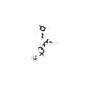 Cn1nnnc1SCC1(C(=O)O)CS[C@@H]2C(NC(=O)C(=NOCC(=O)Nc3cc(Cl)cc(Cl)c3O)c3csc(N)n3)C(=O)N2C1